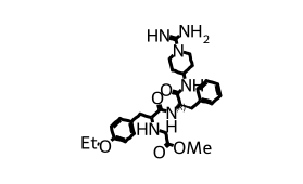 CCOc1ccc(CC(NCC(=O)OC)C(=O)N[C@H](Cc2ccccc2)C(=O)NC2CCN(C(=N)N)CC2)cc1